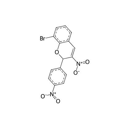 O=[N+]([O-])C1=Cc2cccc(Br)c2OC1c1ccc([N+](=O)[O-])cc1